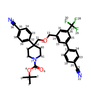 CC(C)(C)OC(=O)N1CCC(COCc2cc(-c3ccc(C#N)cc3)cc(C(F)(F)F)c2)(c2ccc(C#N)cc2)CC1